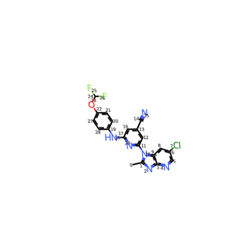 Cc1nc2ncc(Cl)cc2n1-c1cc(C#N)cc(Nc2ccc(OC(F)F)cc2)n1